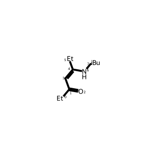 CCC(=O)/C=C(/CC)NC(C)CC